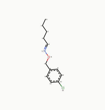 CCCCC=NOCc1ccc(Cl)cc1